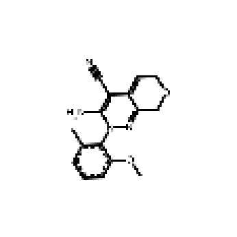 COc1cccc(C)c1N1N=C2COCC=C2C(C#N)=C1N